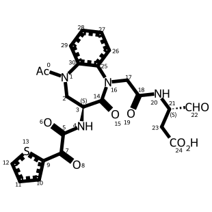 CC(=O)N1C[C@H](NC(=O)C(=O)c2cccs2)C(=O)N(CC(=O)N[C@H](C=O)CC(=O)O)c2ccccc21